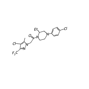 CCC1CN(c2ccc(Cl)cc2)CCN1C(=O)Cn1nc(C(F)(F)F)c(Cl)c1C